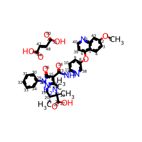 COc1ccc2c(Oc3ccc(NC(=O)c4c(C)n(C[C@@H](C)[C@](C)(N)C(=O)O)n(-c5ccccc5)c4=O)nc3)ccnc2c1.O=C(O)/C=C/C(=O)O